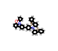 c1ccc2c(c1)Oc1cccc3c4ccc(-c5ccc(N(c6cccc7c6sc6ccccc67)c6cccc7c6sc6ccccc67)cc5)cc4n-2c13